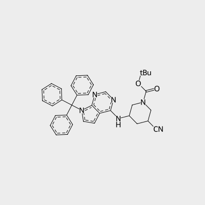 CC(C)(C)OC(=O)N1CC(C#N)CC(Nc2ncnc3c2ccn3C(c2ccccc2)(c2ccccc2)c2ccccc2)C1